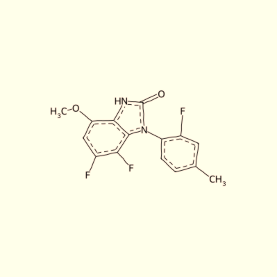 COc1cc(F)c(F)c2c1[nH]c(=O)n2-c1ccc(C)cc1F